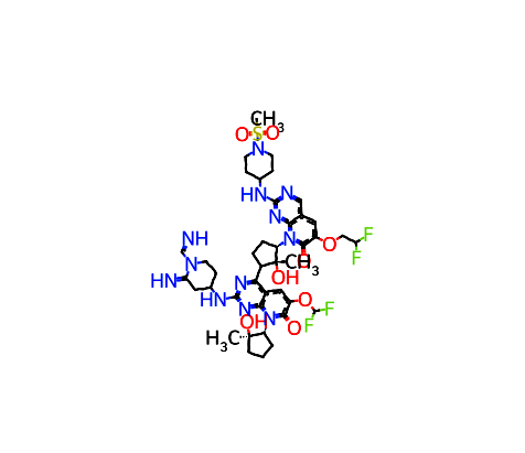 C[C@@]1(O)CCC[C@H]1n1c(=O)c(OC(F)F)cc2c(C3CC[C@@H](n4c(=O)c(OCC(F)F)cc5cnc(NC6CCN(S(C)(=O)=O)CC6)nc54)[C@]3(C)O)nc(NC3CCN(C=N)C(=N)C3)nc21